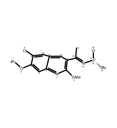 COc1nc2cc(OC(C)C)c(Cl)cc2cc1/C(C)=N/[S@+]([O-])C(C)(C)C